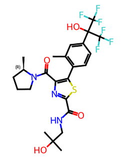 Cc1cc(C(O)(C(F)(F)F)C(F)(F)F)ccc1-c1sc(C(=O)NCC(C)(C)O)nc1C(=O)N1CCC[C@H]1C